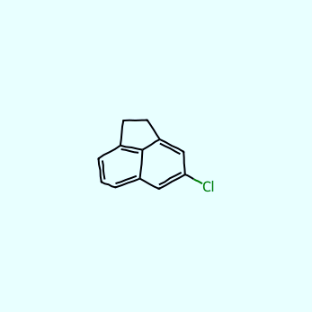 Clc1cc2c3c(cccc3c1)CC2